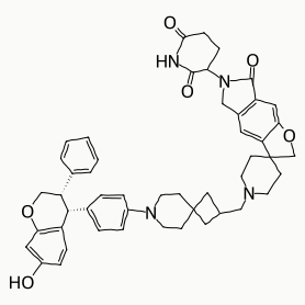 O=C1CCC(N2Cc3cc4c(cc3C2=O)OCC42CCN(CC3CC4(CCN(c5ccc([C@@H]6c7ccc(O)cc7OC[C@@H]6c6ccccc6)cc5)CC4)C3)CC2)C(=O)N1